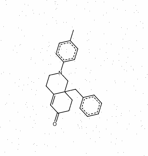 Cc1ccc(N2CCC3=CC(=O)CCC3(Cc3ccccc3)C2)cc1